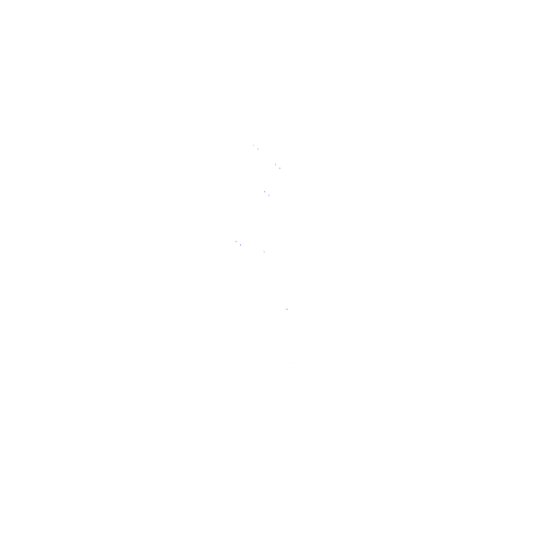 N[C@@H](CC[C@@H]1CCC(=O)C1)Cn1ccnn1